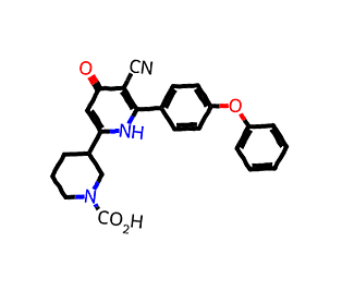 N#Cc1c(-c2ccc(Oc3ccccc3)cc2)[nH]c(C2CCCN(C(=O)O)C2)cc1=O